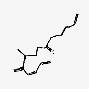 C=C/C=C\C(=C)C(C)CCC(=S)CCCC=C